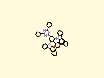 c1ccc(-c2cc(-c3ccccc3)cc(-c3c(-n4c5ccccc5c5ccccc54)cc(-c4nc(-c5ccccc5)nc(-c5ccccc5)n4)cc3-n3c4ccccc4c4ccccc43)c2)cc1